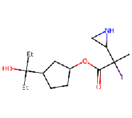 CCC(O)(CC)C1CCC(OC(=O)C(C)(I)C2CN2)C1